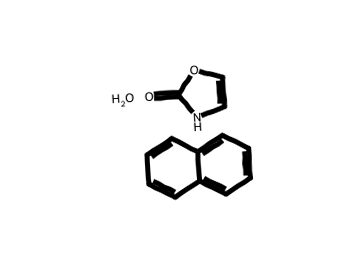 O.O=c1[nH]cco1.c1ccc2ccccc2c1